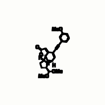 COc1cccc(C#CC2=C[C@@H]3C[C@@]4(OC(=O)C=C24)[C@H]2CC[C@H](C(OC)OC)N32)c1